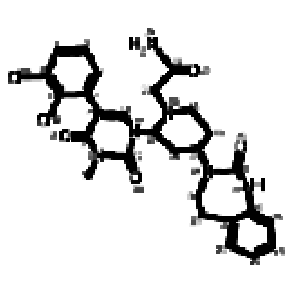 Cn1c(=O)c(-c2cccc(Cl)c2Cl)cn(C2CC(N3CCc4ccccc4NC3=O)CCN2CC(N)=O)c1=O